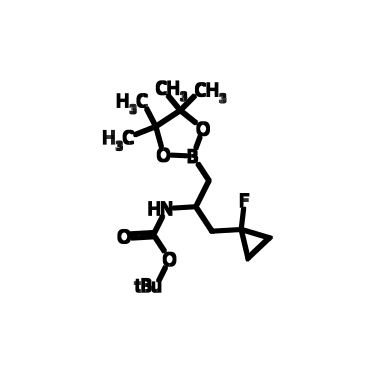 CC(C)(C)OC(=O)NC(CB1OC(C)(C)C(C)(C)O1)CC1(F)CC1